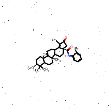 CC(=O)O[C@H]1CC[C@@]2(C)C(CC[C@@]3(C)C4CC[C@@]5(C(=O)Nc6ccccc6C(C)C)CC(=O)C(C(C)C)=C5C4CCC32)C1(C)C